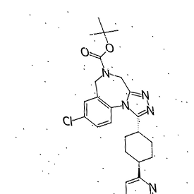 CC(C)(C)OC(=O)N1Cc2cc(Cl)ccc2-n2c(nnc2[C@H]2CC[C@H](c3ccccn3)CC2)C1